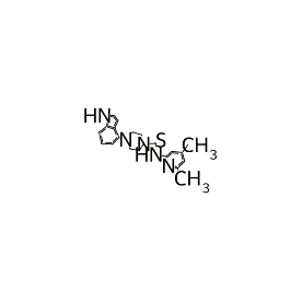 Cc1cc(C)nc(NC(=S)N2CCN(c3cccc4[nH]ccc34)CC2)c1